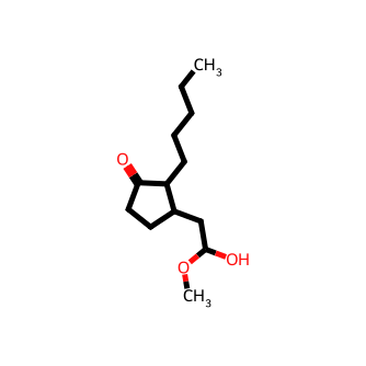 CCCCCC1C(=O)CCC1CC(O)OC